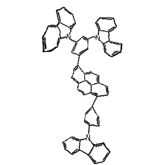 c1ccc2c(c1)c1ccccc1n2-c1ccc(-c2ccc3ccc4c(-c5cc(-n6c7ccccc7c7ccccc76)cc(-n6c7ccccc7c7ccccc76)c5)ccc5ccc2c3c54)cc1